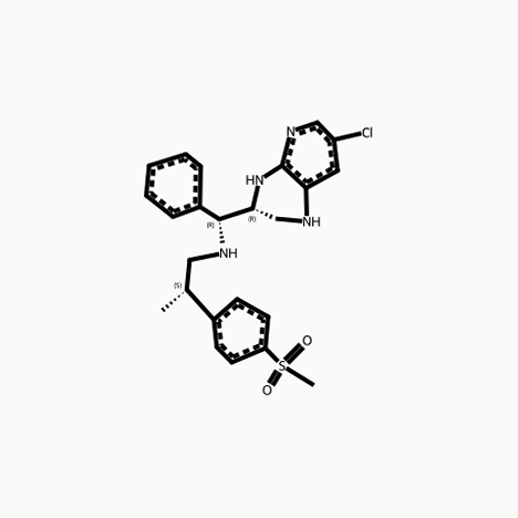 C[C@H](CN[C@H](c1ccccc1)[C@H]1CNc2cc(Cl)cnc2N1)c1ccc(S(C)(=O)=O)cc1